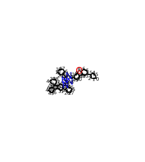 c1ccc(-c2ccc3oc4cc(-c5nc(-c6ccccc6)nc(-n6c7ccccc7c7cc8c(cc76)C6(CCCCC6)c6ccccc6-8)n5)ccc4c3c2)cc1